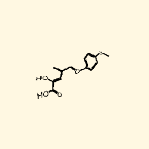 CSc1ccc(OCC(C)/C=C(\O)C(=O)O)cc1